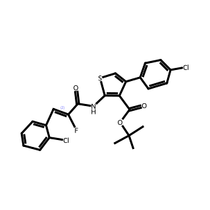 CC(C)(C)OC(=O)c1c(-c2ccc(Cl)cc2)csc1NC(=O)/C(F)=C/c1ccccc1Cl